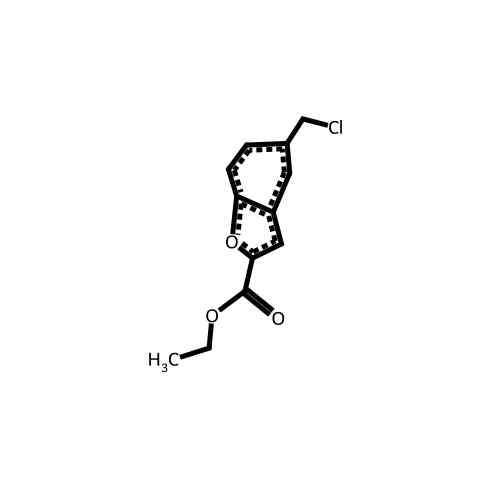 CCOC(=O)c1cc2cc(CCl)ccc2o1